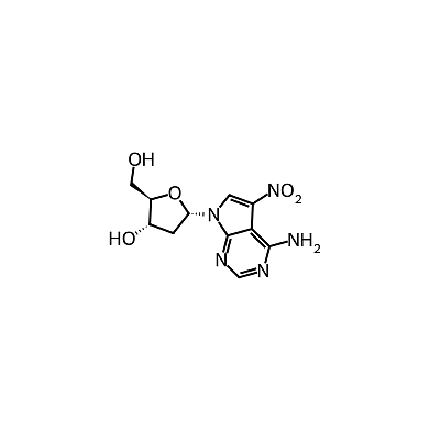 Nc1ncnc2c1c([N+](=O)[O-])cn2[C@@H]1C[C@H](O)[C@@H](CO)O1